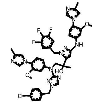 COc1cc(Nc2cc(C(C)(O)CN(c3ccc(-n4cnc(C)c4)c(OC)c3)c3ncn(Cc4ccc(Cl)cc4)n3)n(Cc3cc(F)c(F)c(F)c3)n2)ccc1-n1cnc(C)c1